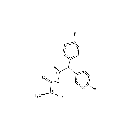 C[C@H](OC(=O)[C@@H](N)C(F)(F)F)C(c1ccc(F)cc1)c1ccc(F)cc1